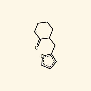 O=C1CCCCC1Cc1ccco1